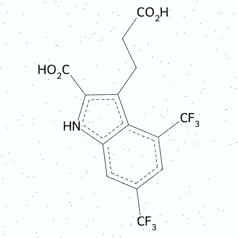 O=C(O)CCc1c(C(=O)O)[nH]c2cc(C(F)(F)F)cc(C(F)(F)F)c12